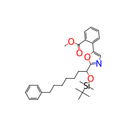 COC(=O)c1ccccc1-c1cnc(C(CCCCCCc2ccccc2)O[Si](C)(C)C(C)(C)C)o1